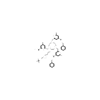 COC(=O)c1cc(C)cc(CN2CCN(Cc3cc(C(=O)OCc4ccccc4)cc(C)n3)CCN(Cc3cc(C(=O)OCc4ccccc4)cc(C)n3)C[C@@H]2CCCCNC(=O)OC(C)(C)C)n1